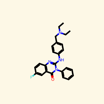 CCN(CC)Cc1ccc(Nc2nc3ccc(F)cc3c(=O)n2-c2ccccc2)cc1